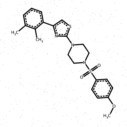 COc1ccc(S(=O)(=O)N2CCN(c3nc(-c4cccc(C)c4C)cs3)CC2)cc1